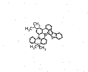 CC(C)c1cc2c3c(c1)N1c4ccccc4[Si](C)(C)c4cccc(c41)B3n1c3sc4ccccc4c3c3cccc-2c31